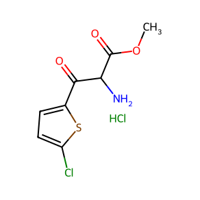 COC(=O)C(N)C(=O)c1ccc(Cl)s1.Cl